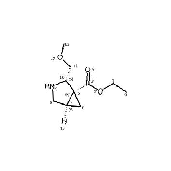 CCOC(=O)[C@]12C[C@H]1CN[C@@H]2COC